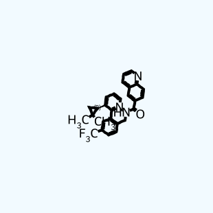 CC1(C)C[C@H]1c1cccnc1-c1cc(C(F)(F)F)ccc1CNC(=O)c1ccc2ncccc2c1